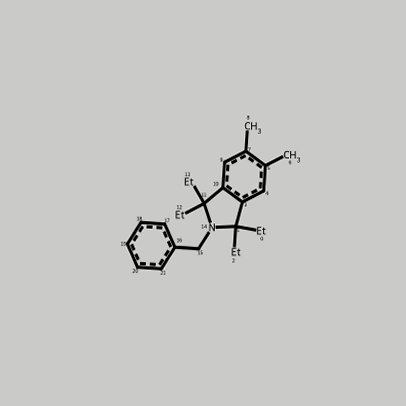 CCC1(CC)c2cc(C)c(C)cc2C(CC)(CC)N1Cc1ccccc1